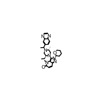 CC[C@H]1CN(C(C)c2ccc3nccnc3c2)[C@H](C)CN1c1c2c(ccc(=O)n2C)nn1C1CCCCO1